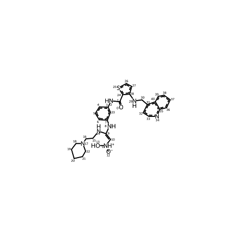 O=C(Nc1cccc(N/C(=C/[NH+]([O-])O)NCCN2CCCCC2)c1)c1sccc1NCc1ccnc2ccccc12